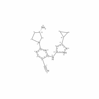 C#Cc1cnc(N2CC[C@H](N)C2)nc1Nc1cc(C2CC2)n[nH]1